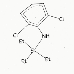 CC[Si](CC)(CC)Nc1c(Cl)cccc1Cl